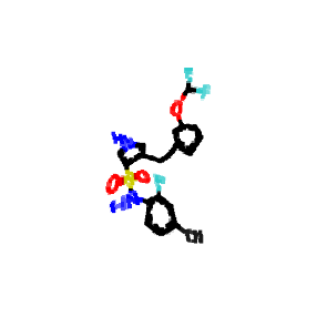 N#Cc1ccc(NS(=O)(=O)c2c[nH]cc2Cc2cccc(OC(F)F)c2)c(F)c1